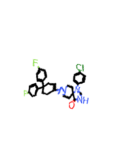 O=C1NCN(c2ccc(Cl)cc2)C12CCN(C1CCC(c3ccc(F)cc3)(c3ccc(F)cc3)CC1)CC2